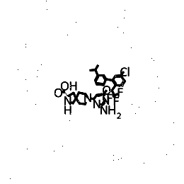 CC(C)c1cccc(-c2cc(Cl)ccc2C(Oc2cc(N3CCC4(CC3)CN[C@H](C(=O)O)C4)nc(N)n2)C(F)(F)F)c1